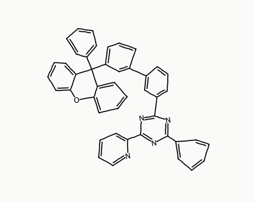 c1ccc(-c2nc(-c3cccc(-c4cccc(C5(c6ccccc6)c6ccccc6Oc6ccccc65)c4)c3)nc(-c3ccccn3)n2)cc1